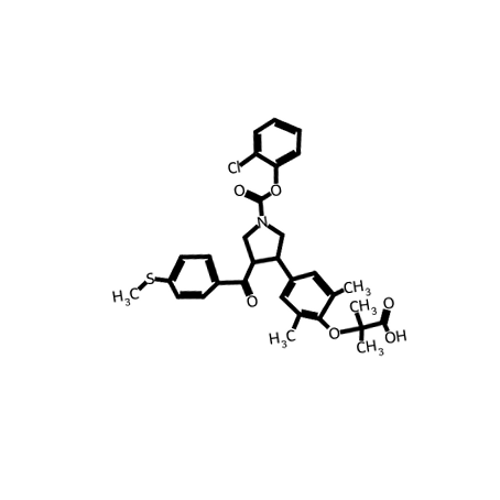 CSc1ccc(C(=O)C2CN(C(=O)Oc3ccccc3Cl)CC2c2cc(C)c(OC(C)(C)C(=O)O)c(C)c2)cc1